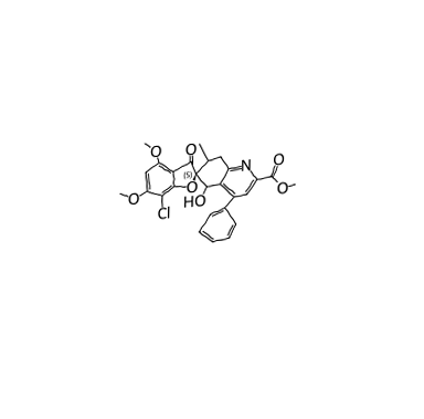 COC(=O)c1cc(-c2ccccc2)c2c(n1)CC(C)[C@]1(Oc3c(Cl)c(OC)cc(OC)c3C1=O)C2O